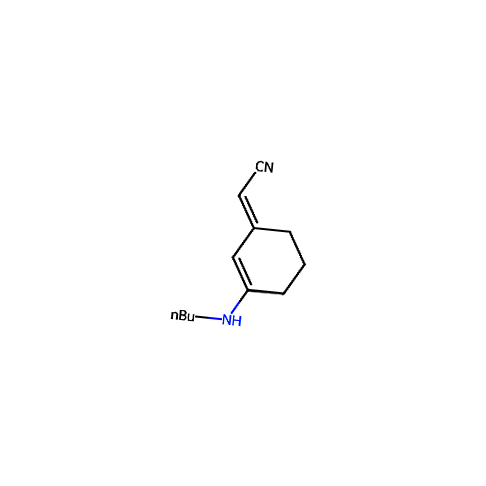 CCCCNC1=C/C(=C/C#N)CCC1